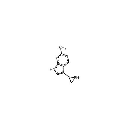 Cc1ccc2c(C3BC3)c[nH]c2c1